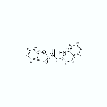 O=C(NCC1CCc2ccccc2N1)Oc1ccccc1